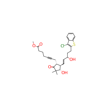 COC(=O)CCCC#CC[C@H]1C(=O)C(C)(C)[C@@H](O)[C@@H]1/C=C/C(O)CCc1sc2ccccc2c1Cl